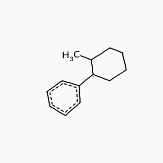 CC1CCCC[C]1c1ccccc1